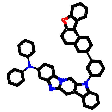 c1ccc(N(c2ccccc2)c2ccc3c(c2)nc2cc4c5ccccc5n(-c5cccc(-c6ccc7c(ccc8oc9ccccc9c87)c6)c5)c4cn23)cc1